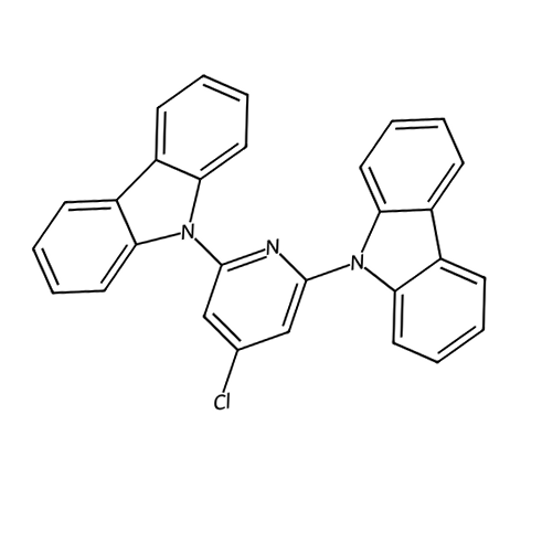 Clc1cc(-n2c3ccccc3c3ccccc32)nc(-n2c3ccccc3c3ccccc32)c1